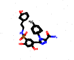 Cc1ccc(-n2c(C(N)=O)nnc2-c2cc(S(=O)(=O)NCCc3cccc(O)c3)c(O)cc2O)cc1